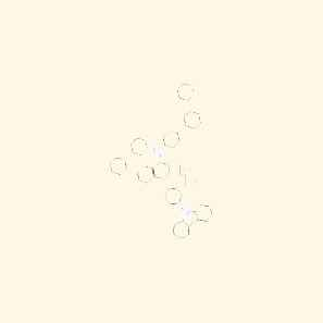 CCC1(CC)c2cc(N(c3ccc(-c4cccc(-c5ccccc5)c4)cc3)c3ccccc3-c3ccccc3-c3ccccc3)ccc2-c2ccc(-n3c4ccccc4c4ccccc43)cc21